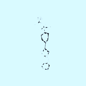 NC(=O)OS(=O)(=O)c1ccc(-c2cn(Cc3ccncc3)nn2)cc1